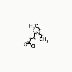 CCN(CC)CCCC(=O)Cl